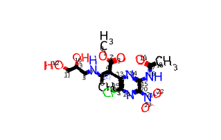 COC(=O)/C(=C(/C)NCC(O)CO)c1nc(NC(C)=O)c([N+](=O)[O-])nc1Cl